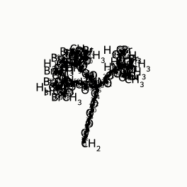 C=CCOCCOCCOCCOCCOCC(CNC(=O)COCC(=O)NC(COC(=O)C(C)(C)Br)(COC(=O)C(C)(C)Br)COC(=O)C(C)(C)Br)(CNC(=O)COCC(=O)NC(COC(=O)C(C)(C)Br)(COC(=O)C(C)(C)Br)COC(=O)C(C)(C)Br)CNC(=O)COCC(=O)NC(COC(=O)C(C)(C)Br)(COC(=O)C(C)(C)Br)COC(=O)C(C)(C)Br